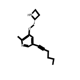 CCCCC#Cc1cnc(C)c(OC[C@H]2CCN2)c1